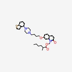 CCCCC(C)C(=O)OCn1c(=O)ccc2ccc(OCCCCN3CCN(c4cccc5sccc45)CC3)cc21